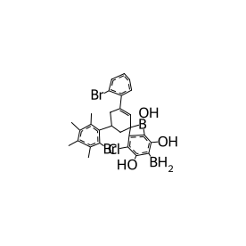 Bc1c(O)c(Cl)c2c(c1O)B(O)C21C=C(c2ccccc2Br)CC(c2c(C)c(C)c(C)c(C)c2Br)C1